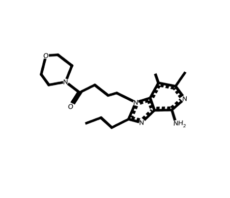 CCCc1nc2c(N)nc(C)c(C)c2n1CCCC(=O)N1CCOCC1